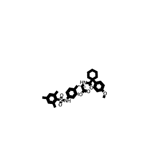 COc1ccc(C2(C(=O)N[C@@H](Cc3ccc(NS(=O)(=O)c4c(C)cc(C)cc4C)cc3)C(=O)O)CCCCC2)cc1